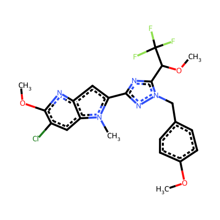 COc1ccc(Cn2nc(-c3cc4nc(OC)c(Cl)cc4n3C)nc2C(OC)C(F)(F)F)cc1